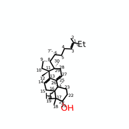 CC/C(C)=C/CC[C@@H](C)[C@H]1CC[C@@]2(C)C3=CC[C@H]4C(C)(C)[C@H](O)CC[C@]4(C)C3=CC[C@]12C